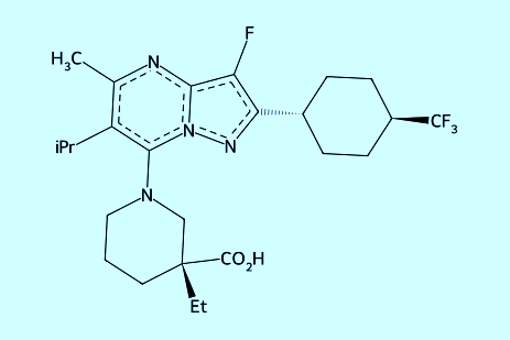 CC[C@@]1(C(=O)O)CCCN(c2c(C(C)C)c(C)nc3c(F)c([C@H]4CC[C@H](C(F)(F)F)CC4)nn23)C1